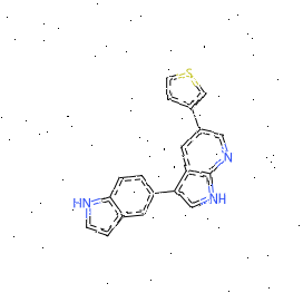 c1cc2cc(-c3c[nH]c4ncc(-c5ccsc5)cc34)ccc2[nH]1